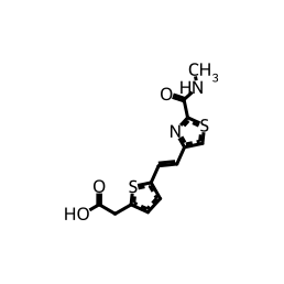 CNC(=O)c1nc(/C=C/c2ccc(CC(=O)O)s2)cs1